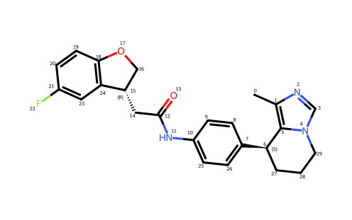 Cc1ncn2c1[C@H](c1ccc(NC(=O)C[C@H]3COc4ccc(F)cc43)cc1)CCC2